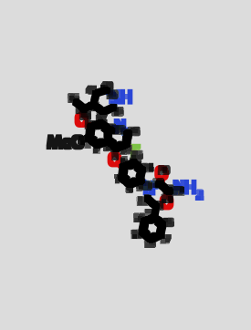 COc1cc2c(Oc3ccc(N(CCc4ccccc4)C(=O)C(N)=O)cc3F)ccnc2cc1OC(C)C1CCNCC1